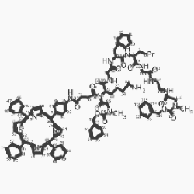 CC(C)CC(NC(=O)C(Cc1ccccc1)NC(=O)CNC(=O)C(CCCCN)N(C(=O)CCC(=O)Nc1ccc(-c2c3nc(c(-c4ccccc4)c4ccc([nH]4)c(-c4ccccc4)c4nc(c(-c5ccccc5)c5ccc2[nH]5)C=C4)C=C3)cc1)C(=O)CN(C)C(=O)OCc1ccccc1)C(=O)NCC(=O)NCCNC(=O)CN(C)C(=O)OCc1ccccc1